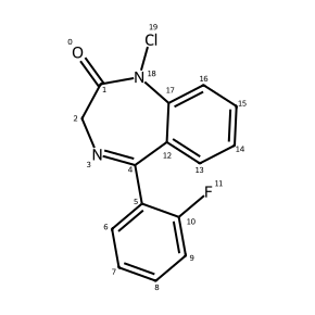 O=C1CN=C(c2ccccc2F)c2ccccc2N1Cl